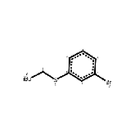 CCC(C)CSc1cccc(Br)c1